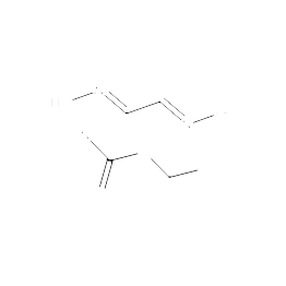 CCOC(N)=O.O/N=C/C=N/O